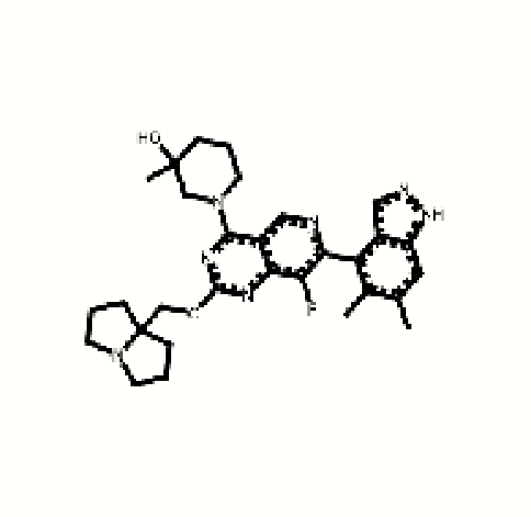 Cc1cc2[nH]ncc2c(-c2ncc3c(N4CCCC(C)(O)C4)nc(OCC45CCCN4CCC5)nc3c2F)c1C